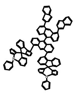 c1ccc(N2c3ccccc3C3(c4ccccc4-c4c(-c5cccc6c(-c7c8cccc(-c9ccc%10ccccc%10c9)c8cc8c(-c9ccc%10ccccc%10c9)cccc78)c7cccc(-c8cccc9c8-c8ccccc8C98c9ccccc9N(c9ccccc9)c9ccccc98)c7cc56)cccc43)c3ccccc32)cc1